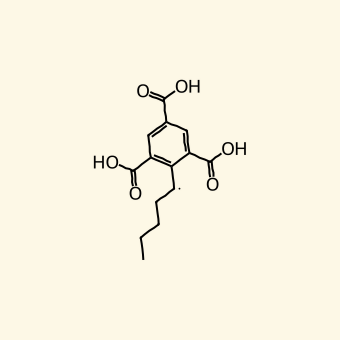 CCCC[CH]c1c(C(=O)O)cc(C(=O)O)cc1C(=O)O